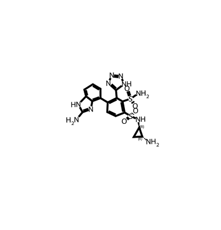 Nc1nc2c(-c3ccc(S(=O)(=O)N[C@@H]4C[C@H]4N)c(S(N)(=O)=O)c3-c3nnn[nH]3)cccc2[nH]1